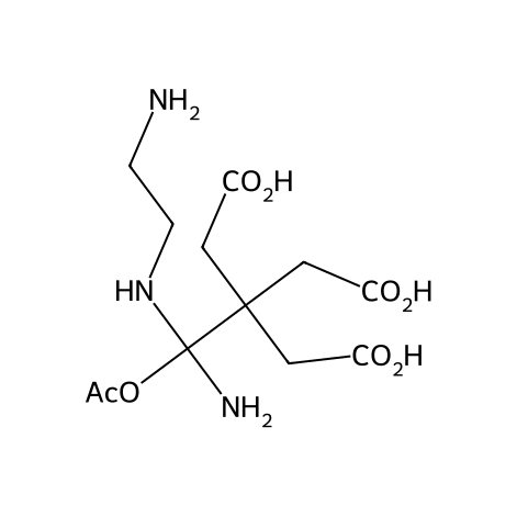 CC(=O)OC(N)(NCCN)C(CC(=O)O)(CC(=O)O)CC(=O)O